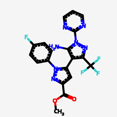 COC(=O)c1cc(-c2c(C(F)(F)F)nn(-c3ncccn3)c2N)n(-c2ccc(F)cc2)n1